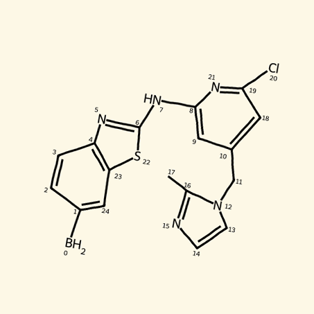 Bc1ccc2nc(Nc3cc(Cn4ccnc4C)cc(Cl)n3)sc2c1